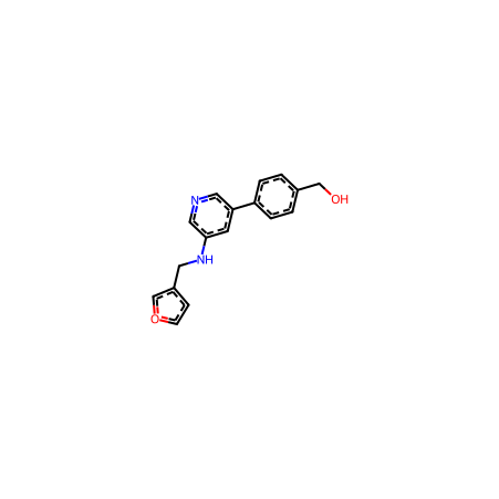 OCc1ccc(-c2cncc(NCc3ccoc3)c2)cc1